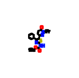 CC(C)n1nc(-c2sc(NC(=O)OC(C)(C)C)nc2-c2ccccc2)ccc1=O